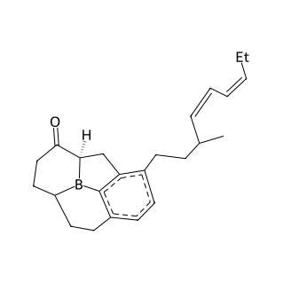 CC/C=C\C=C/C(C)CCc1ccc2c3c1C[C@H]1B3C(CCC1=O)CC2